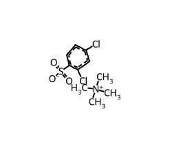 C[N+](C)(C)C.O=S(=O)([O-])c1ccc(Cl)cc1Cl